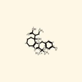 CCC(C(=O)O)C1(O)CCCCc2nc(C(C)(C)C)n(Cc3ccc(Cl)cc3)c21